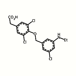 CCNc1cc(Cl)cc(COc2c(Cl)cc(CC(=O)O)cc2Cl)c1